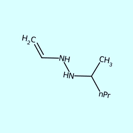 C=CNNC(C)CCC